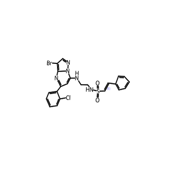 O=S(=O)(/C=C/c1ccccc1)NCCNc1cc(-c2ccccc2Cl)nc2c(Br)cnn12